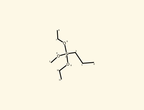 CCC[Si](OC)(OCC)OCC